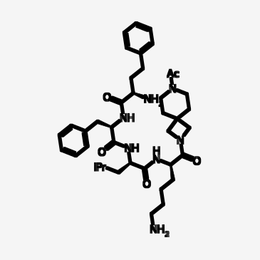 CC(=O)N1CCC2(CC1)CN(C(=O)[C@@H](CCCCN)NC(=O)[C@@H](CC(C)C)NC(=O)[C@@H](Cc1ccccc1)NC(=O)[C@H](N)CCc1ccccc1)C2